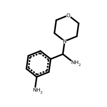 Nc1cccc(C(N)N2CCOCC2)c1